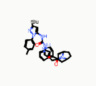 Cc1ccc(-n2nc(C(C)(C)C)cc2NC(=O)Nc2cccc(CC3CC4CCC(C3)N4C(=O)c3ccncc3)c2)cc1